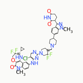 Cn1nc(C2CCC(=O)NC2=O)c2ccc(C3CCN(C[C@@H]4CCN(c5ncc(Cl)c(Nc6ccc7c(c6)c6c(c(=O)n7C)OCC(F)(F)[C@H](C7CC7)N6)n5)CC4(F)F)CC3)cc21